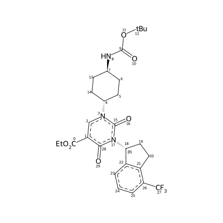 CCOC(=O)c1cn([C@H]2CC[C@H](NC(=O)OC(C)(C)C)CC2)c(=O)n([C@@H]2CCc3c2cccc3C(F)(F)F)c1=O